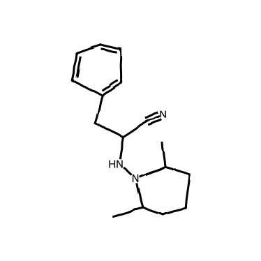 CC1CCCC(C)N1NC(C#N)Cc1ccccc1